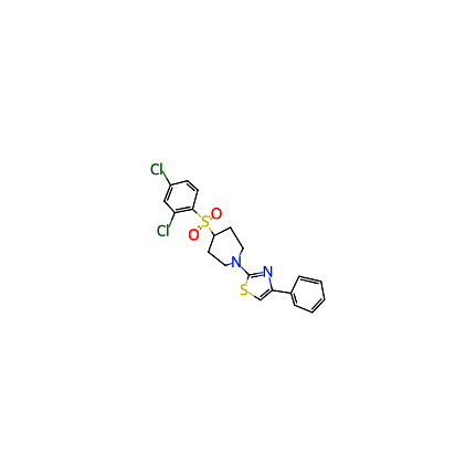 O=S(=O)(c1ccc(Cl)cc1Cl)C1CCN(c2nc(-c3ccccc3)cs2)CC1